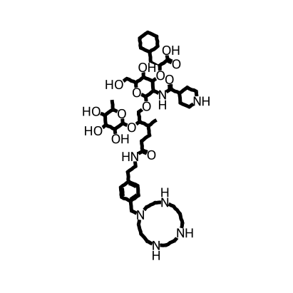 CC(CCC(=O)NCCc1ccc(CN2CCCNCCNCCCNCC2)cc1)C(COC1OC(CO)C(O)C(O[C@@H](CC2CCCCC2)C(=O)O)C1NC(=O)C1CCNCC1)OC1OC(C)C(O)C(O)C1O